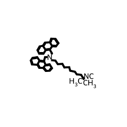 [C-]#[N+]C(C)(C)CCCCCCCCCCN(Cc1c2ccccc2cc2ccccc12)Cc1c2ccccc2cc2ccccc12